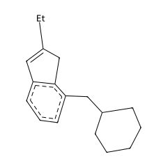 CCC1=Cc2cccc(CC3CCCCC3)c2C1